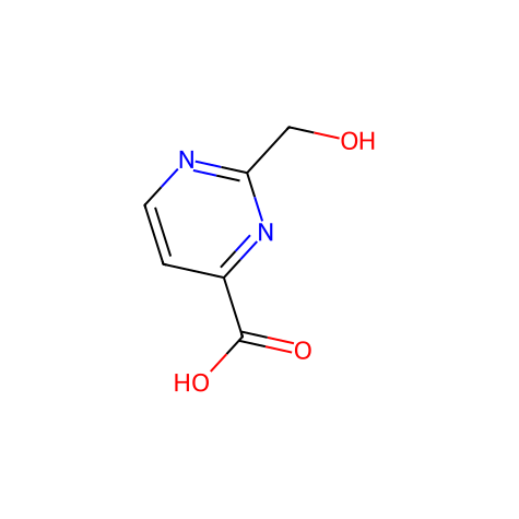 O=C(O)c1ccnc(CO)n1